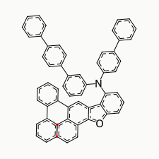 c1ccc(-c2ccc(-c3cccc(N(c4ccc(-c5ccccc5)cc4)c4cccc5oc6c7ccccc7c(-c7ccccc7-c7ccccc7)cc6c45)c3)cc2)cc1